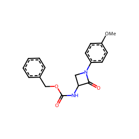 COc1ccc(N2CC(NC(=O)OCc3ccccc3)C2=O)cc1